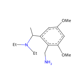 CCN(CC)C(C)c1cc(OC)cc(OC)c1CN